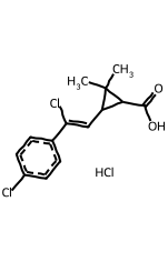 CC1(C)C(C=C(Cl)c2ccc(Cl)cc2)C1C(=O)O.Cl